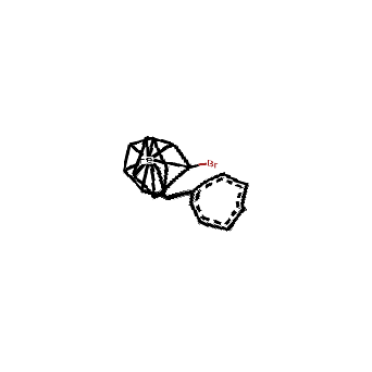 Br[C]12[CH]3[CH]4[CH]5[CH]1[Fe]45321678[CH]2[CH]1[CH]6[C]7(c1ccccc1)[CH]28